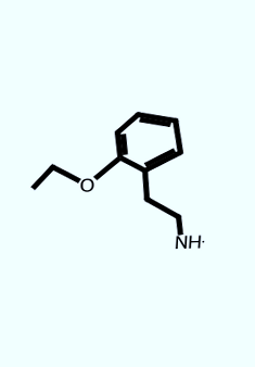 CCOc1ccccc1CC[NH]